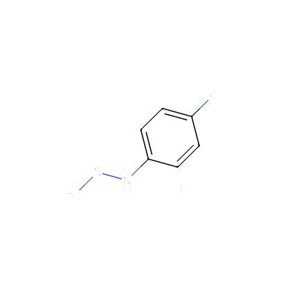 Cl.Clc1ccc(NNBr)cc1